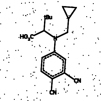 CC(C)(C)C(C(=O)O)N(CC1CC1)c1ccc(C#N)c(C#N)c1